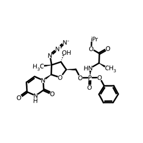 CC(C)OC(=O)[C@@H](C)N[P@@](=O)(OC[C@H]1O[C@@H](n2ccc(=O)[nH]c2=O)[C@](C)(N=[N+]=[N-])[C@@H]1O)Oc1ccccc1